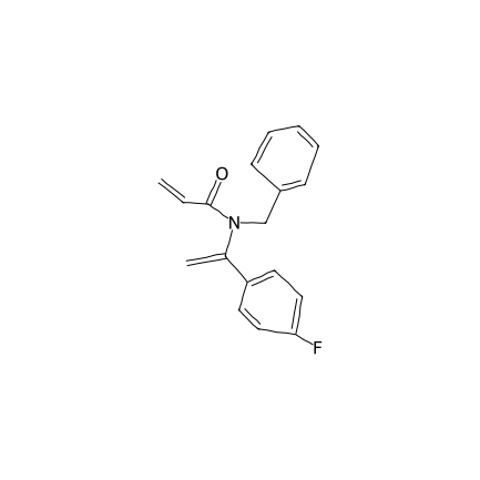 C=CC(=O)N(Cc1ccccc1)C(=C)c1ccc(F)cc1